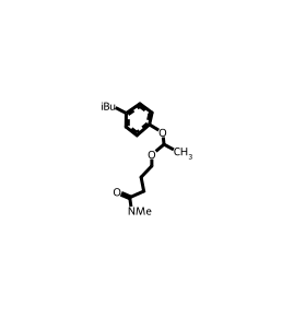 CCC(C)c1ccc(OC(C)OCCCC(=O)NC)cc1